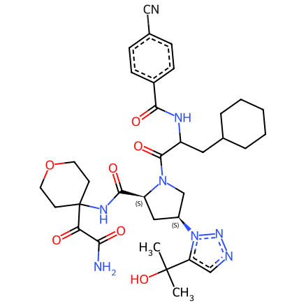 CC(C)(O)c1cnnn1[C@H]1C[C@@H](C(=O)NC2(C(=O)C(N)=O)CCOCC2)N(C(=O)C(CC2CCCCC2)NC(=O)c2ccc(C#N)cc2)C1